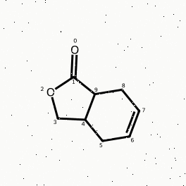 O=C1OCC2CC=CCC12